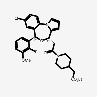 CCOC(=O)CC1CCN(C(=O)C[C@@H]2O[C@@H](c3cccc(OC)c3F)c3cc(Cl)ccc3-n3cccc32)CC1